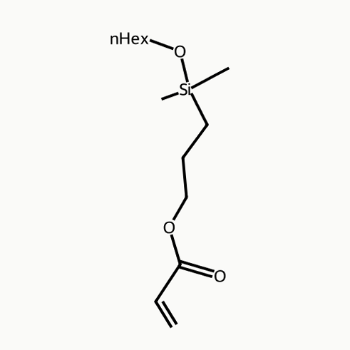 C=CC(=O)OCCC[Si](C)(C)OCCCCCC